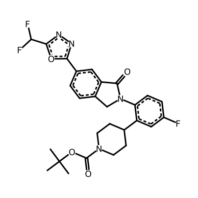 CC(C)(C)OC(=O)N1CCC(c2cc(F)ccc2N2Cc3ccc(-c4nnc(C(F)F)o4)cc3C2=O)CC1